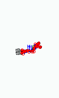 CC(C)(C)OC(=O)N1CCN(c2ccc(NC(=O)NC[C@H]3CN(c4ccc(N5CCN(C(=O)OCc6ccccc6)N(C(=O)OCc6ccccc6)CC5)c(F)c4)C(=O)O3)cc2)CCN1C(=O)OC(C)(C)C